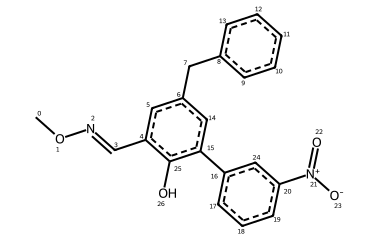 CON=Cc1cc(Cc2ccccc2)cc(-c2cccc([N+](=O)[O-])c2)c1O